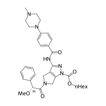 CCCCCCOC(=O)n1nc(NC(=O)c2ccc(N3CCN(C)CC3)cc2)c2c1CN(C(=O)[C@H](OC)c1ccccc1)C2